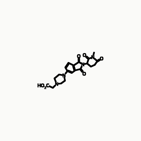 CN1C(=O)CCC(N2C(=O)c3ccc(N4CCN(CC(=O)O)CC4)cc3C2=O)C1=O